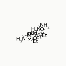 CCCCC(CC)(COC(C)(CC)CC(C)OC(C)(CC)CC(C)N)COC(C)(CC)CC(C)OC(C)(N)C(C)N